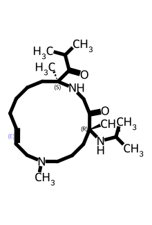 CC(C)N[C@]1(C)CCCN(C)C/C=C/CCCC[C@@](C)(C(=O)C(C)C)NCC1=O